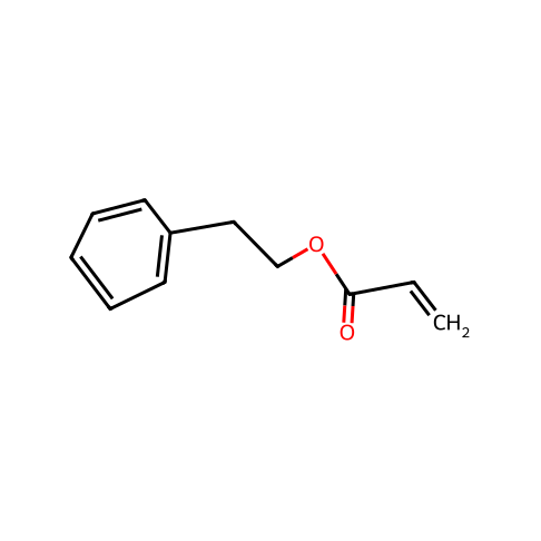 C=CC(=O)OCCc1ccccc1